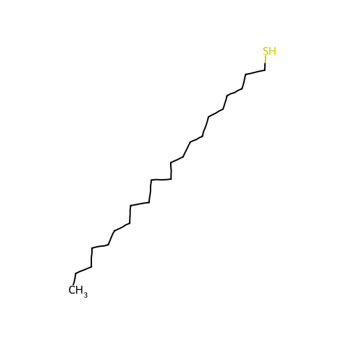 CCCCCCCCCCCCCCCCCCCCCS